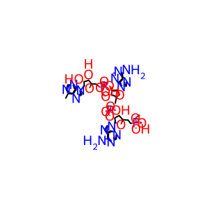 COC1C(COP(=O)(O)OC2CC(CCP(=O)(O)OC)OC2n2cnc3c(N)ncnc32)OC(n2cnc3c(N)ncnc32)C1OP(=O)(O)OCC1OC(n2cnc3c(C)ncnc32)C(O)C1O